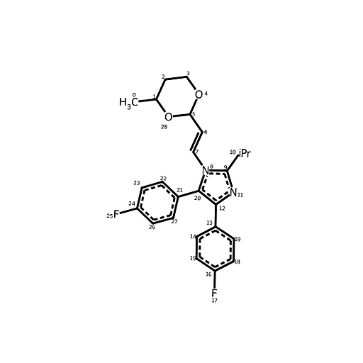 CC1CCOC(C=Cn2c(C(C)C)nc(-c3ccc(F)cc3)c2-c2ccc(F)cc2)O1